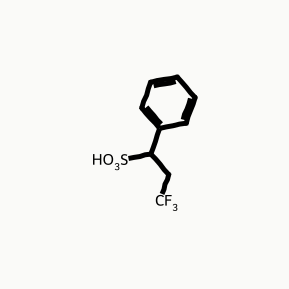 O=S(=O)(O)C(CC(F)(F)F)c1ccccc1